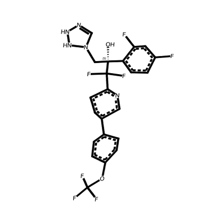 O[C@](CN1C=NNN1)(c1ccc(F)cc1F)C(F)(F)c1ccc(-c2ccc(OC(F)(F)F)cc2)cn1